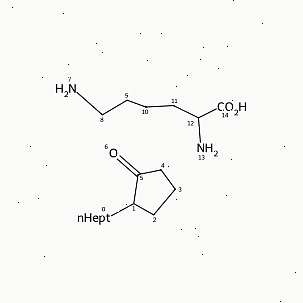 CCCCCCCC1CCCC1=O.NCCCCC(N)C(=O)O